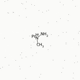 CNN.[Pt]